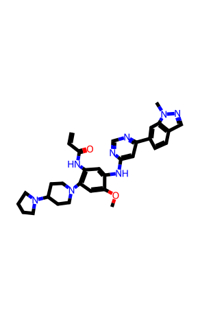 C=CC(=O)Nc1cc(Nc2cc(-c3ccc4cnn(C)c4c3)ncn2)c(OC)cc1N1CCC(N2CCCC2)CC1